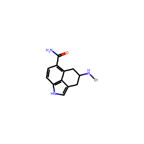 CCNC1Cc2c[nH]c3ccc(C(N)=O)c(c23)C1